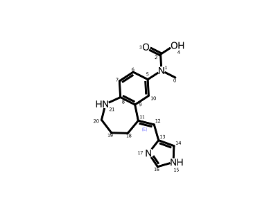 CN(C(=O)O)c1ccc2c(c1)/C(=C/c1c[nH]cn1)CCCN2